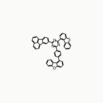 c1cc2c3c(cccc3c1)-c1cc(-c3nc(-c4ccc(-c5cccc6oc7ccccc7c56)cc4)nc(-c4cccc5sc6ccccc6c45)n3)ccc1-2